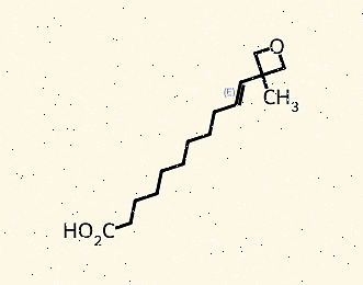 CC1(/C=C/CCCCCCCCC(=O)O)COC1